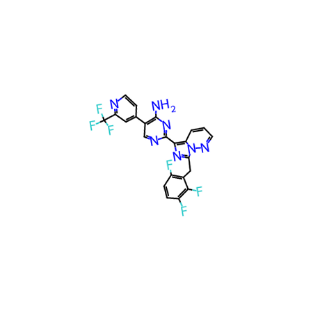 Nc1nc(-c2nc(Cc3c(F)ccc(F)c3F)n3ncccc23)ncc1-c1ccnc(C(F)(F)F)c1